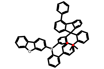 CC1(C)c2ccccc2C2(c3ccccc3-c3c(-c4ccccc4)cccc32)c2ccc(N(c3ccc4c(c3)oc3ccccc34)c3ccccc3-c3ccccc3)cc21